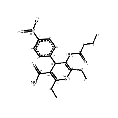 CCCC(=O)NC1=C(CC)NC(CC)=C(C(=O)O)C1c1ccc([N+](=O)[O-])cc1